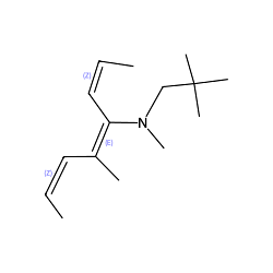 C\C=C/C(C)=C(\C=C/C)N(C)CC(C)(C)C